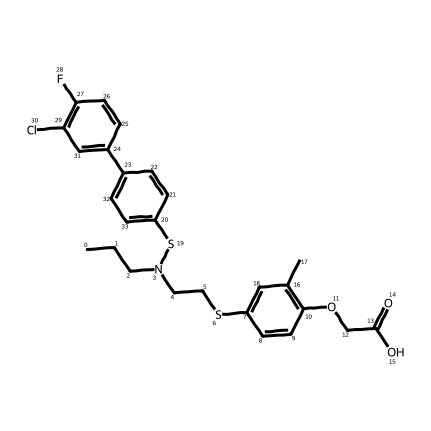 CCCN(CCSc1ccc(OCC(=O)O)c(C)c1)Sc1ccc(-c2ccc(F)c(Cl)c2)cc1